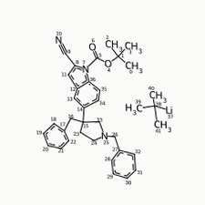 CC(C)(C)OC(=O)n1c(C#N)cc2cc(C3(Cc4ccccc4)CCN(Cc4ccccc4)C3)ccc21.[Li][C](C)(C)C